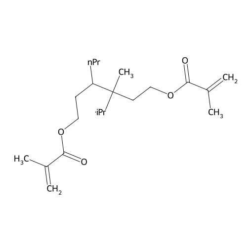 [CH2]CCC(CCOC(=O)C(=C)C)C(C)(CCOC(=O)C(=C)C)[C](C)C